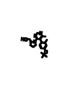 Cc1cc(OC(C)(C)C)ccc1-c1c(C)ncnc1N1CCC[C@H]1CO